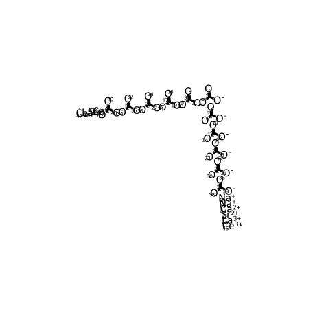 O=C([O-])[O-].O=C([O-])[O-].O=C([O-])[O-].O=C([O-])[O-].O=C([O-])[O-].O=C([O-])[O-].O=C([O-])[O-].O=C([O-])[O-].O=C([O-])[O-].O=C([O-])[O-].O=C([O-])[O-].[Ca+2].[Ca+2].[Ce+3].[Ce+3].[La+3].[La+3].[Na+].[Na+].[Sr+2].[Sr+2]